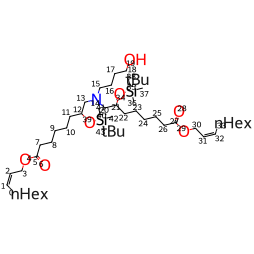 CCCCCC/C=C\COC(=O)CCCCCC(CN(CCCCO)CC(CCCCCC(=O)OC/C=C\CCCCCC)O[Si](C)(C)C(C)(C)C)O[Si](C)(C)C(C)(C)C